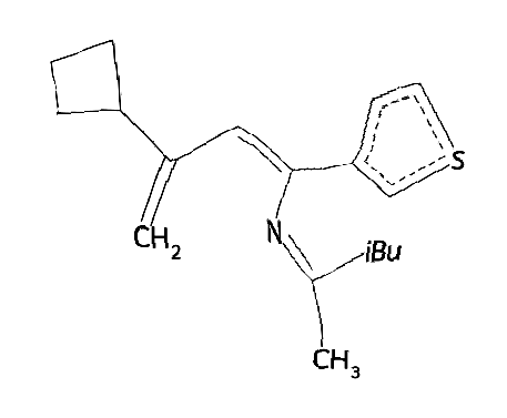 C=C(/C=C(\N=C(\C)C(C)CC)c1ccsc1)C1CCC1